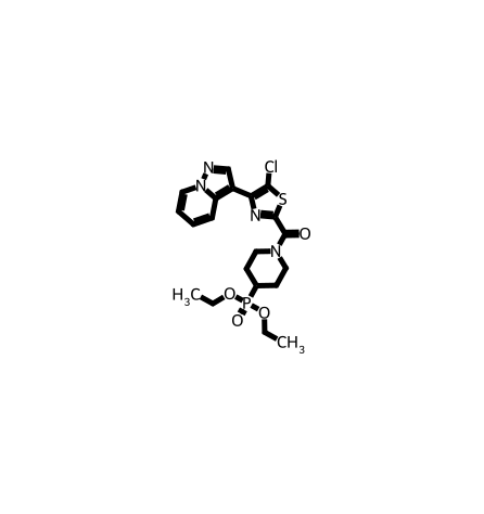 CCOP(=O)(OCC)C1CCN(C(=O)c2nc(-c3cnn4ccccc34)c(Cl)s2)CC1